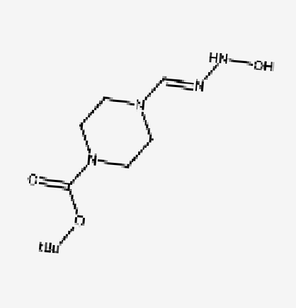 CC(C)(C)OC(=O)N1CCN(C=NNO)CC1